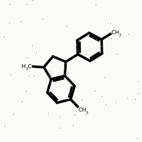 Cc1ccc(C2CC(C)c3ccc(C)cc32)cc1